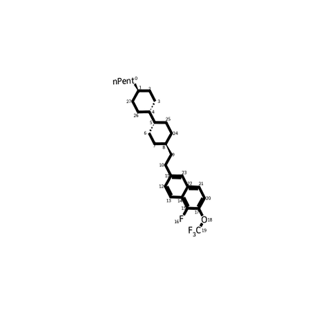 CCCCC[C@H]1CC[C@H]([C@H]2CC[C@H](CCc3ccc4c(F)c(OC(F)(F)F)ccc4c3)CC2)CC1